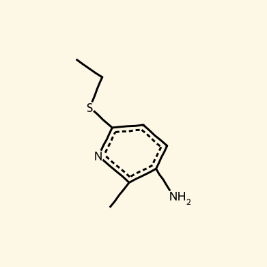 CCSc1ccc(N)c(C)n1